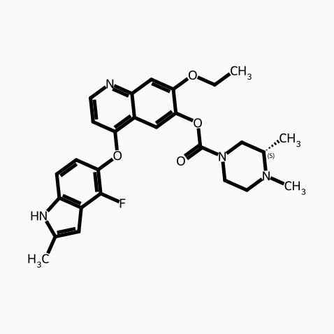 CCOc1cc2nccc(Oc3ccc4[nH]c(C)cc4c3F)c2cc1OC(=O)N1CCN(C)[C@@H](C)C1